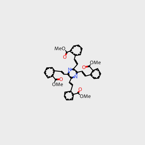 COC(=O)c1ccccc1C=Cc1nc(C=Cc2ccccc2C(=O)OC)c(C=Cc2ccccc2C(=O)OC)nc1C=Cc1ccccc1C(=O)OC